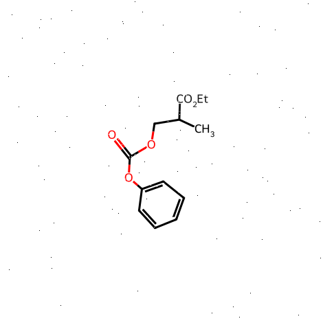 CCOC(=O)C(C)COC(=O)Oc1ccccc1